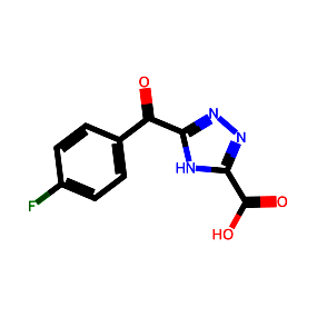 O=C(O)c1nnc(C(=O)c2ccc(F)cc2)[nH]1